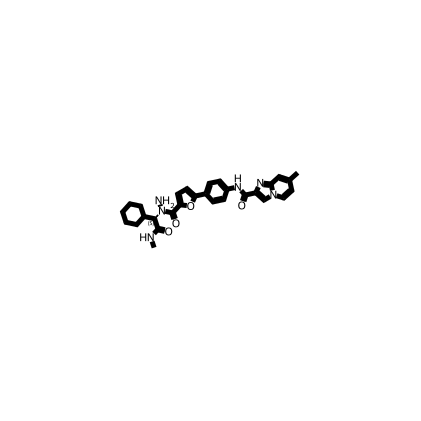 CNC(=O)[C@H](C1CCCCC1)N(N)C(=O)c1ccc(-c2ccc(NC(=O)c3cn4ccc(C)cc4n3)cc2)o1